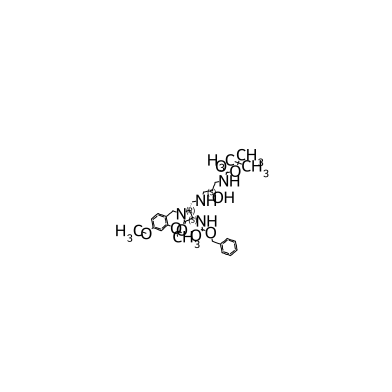 COc1ccc(CN2C(=O)[C@@H](NC(=O)OCc3ccccc3)[C@H]2CNC[C@H](O)CNC(=O)OC(C)(C)C)c(OC)c1